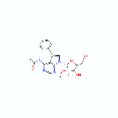 CO[C@]1(C)C(O)C(CO)O[C@H]1n1cc(-c2ccccc2)c2c(NC(C)=O)ncnc21